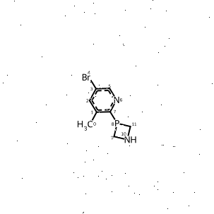 Cc1cc(Br)cnc1P1CNC1